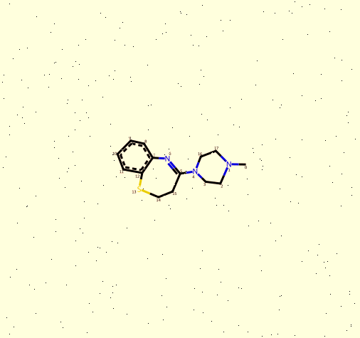 CN1CCN(C2=Nc3ccccc3SCC2)CC1